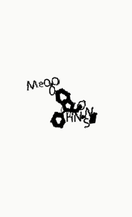 COC(=O)Oc1ccc2c(c1)[C@H](c1ccccc1)[C@](C)(C(=O)Nc1nccs1)C2